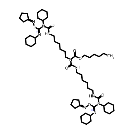 CCCCCCOC(=O)N(CCCCCCNC(=O)N(/C(=N/C1CCCCC1)ON=C1CCCC1)C1CCCCC1)C(=O)NCCCCCCNC(=O)N(/C(=N/C1CCCCC1)ON=C1CCCC1)C1CCCCC1